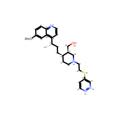 COc1ccc2nccc([C@@H](F)CC[C@@H]3CCN(CCSc4ccnnc4)C[C@@H]3CO)c2c1